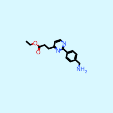 CCOC(=O)CCc1ccnc(-c2ccc(CN)cc2)n1